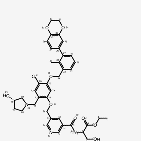 CCOC(=O)C(CO)NC(=O)c1cncc(COc2cc(OCc3cccc(-c4ccc5c(c4)OCCO5)c3C)c(Cl)cc2CN2CC[C@H](O)C2)c1